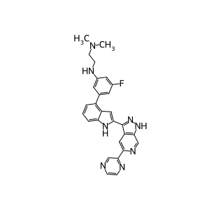 CN(C)CCNc1cc(F)cc(-c2cccc3[nH]c(-c4n[nH]c5cnc(-c6cnccn6)cc45)cc23)c1